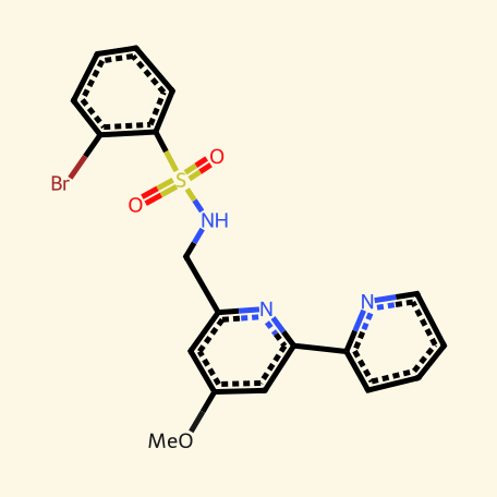 COc1cc(CNS(=O)(=O)c2ccccc2Br)nc(-c2ccccn2)c1